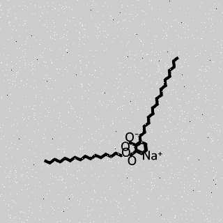 CCCCCCCCCCCCCCCCCCc1cccc(C(=O)OCCCCCCCCCCCCCCCC)c1C(=O)[O-].[Na+]